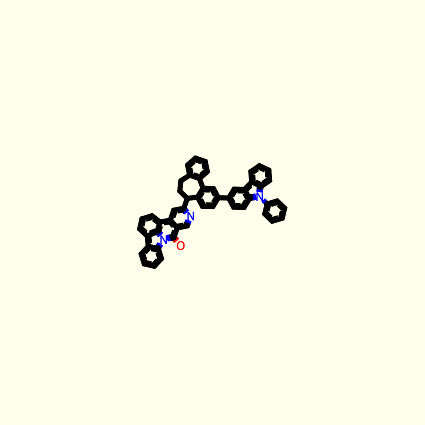 O=c1c2cnc(C3CCc4ccccc4-c4cc(-c5ccc6c(c5)c5ccccc5n6-c5ccccc5)ccc43)cc2c2cccc3c4ccccc4n1c23